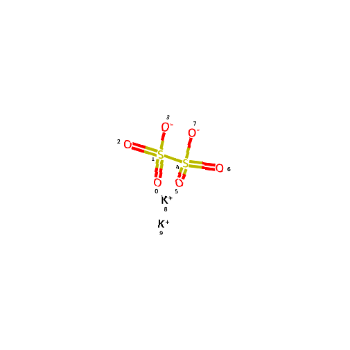 O=S(=O)([O-])S(=O)(=O)[O-].[K+].[K+]